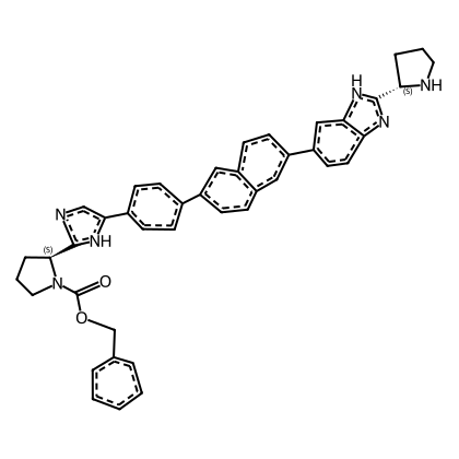 O=C(OCc1ccccc1)N1CCC[C@H]1c1ncc(-c2ccc(-c3ccc4cc(-c5ccc6nc([C@@H]7CCCN7)[nH]c6c5)ccc4c3)cc2)[nH]1